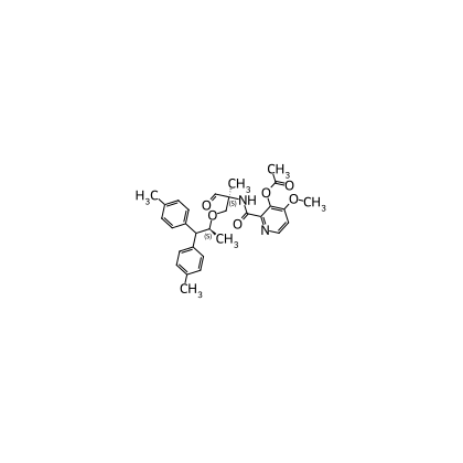 COc1ccnc(C(=O)N[C@](C)(C=O)CO[C@@H](C)C(c2ccc(C)cc2)c2ccc(C)cc2)c1OC(C)=O